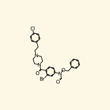 O=CN(OCc1ccccc1)c1ccc(C(=O)N2CCN(CCc3ccc(Cl)cc3)CC2)c(Br)c1